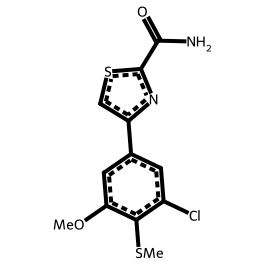 COc1cc(-c2csc(C(N)=O)n2)cc(Cl)c1SC